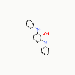 Oc1c(Nc2ccccc2)cccc1Nc1ccccc1